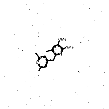 CNc1nc(Cc2cc(C)nc(C)c2)c(C)cc1OC